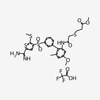 COC(=O)CCSCC(=O)Nc1cc(OC)cc(C)c1-c1cccc(S(=O)(=O)c2cc(C(=N)N)sc2SC)c1.O=C(O)C(F)(F)F